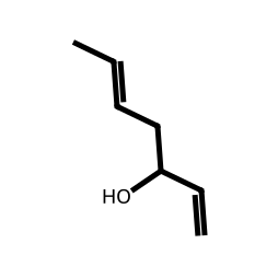 C=CC(O)C/C=C/C